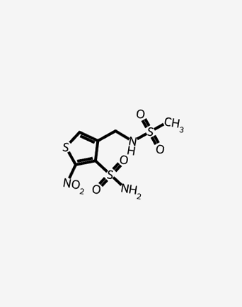 CS(=O)(=O)NCc1csc([N+](=O)[O-])c1S(N)(=O)=O